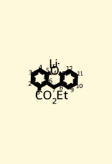 CCOC(=O)c1cccc2c1Cc1ccccc1O2.[Li]